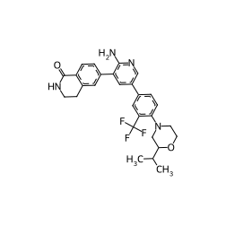 CC(C)C1CN(c2ccc(-c3cnc(N)c(-c4ccc5c(c4)CCNC5=O)c3)cc2C(F)(F)F)CCO1